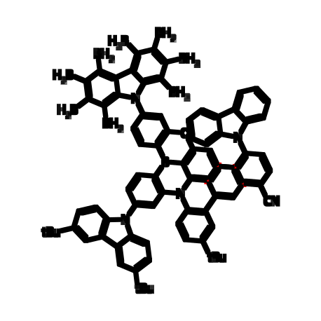 Bc1c(B)c(B)c2c(c1B)c1c(B)c(B)c(B)c(B)c1n2-c1ccc2c(c1)Oc1cc(-c3cc(C#N)ccc3-n3c4ccccc4c4ccccc43)cc3c1B2c1ccc(-n2c4ccc(C(C)(C)C)cc4c4cc(C(C)(C)C)ccc42)cc1N3c1ccc(C(C)(C)C)cc1-c1ccccc1